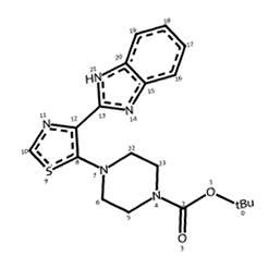 CC(C)(C)OC(=O)N1CCN(c2scnc2-c2nc3ccccc3[nH]2)CC1